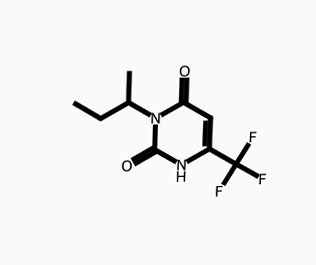 CCC(C)n1c(=O)cc(C(F)(F)F)[nH]c1=O